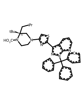 CC(C)C[C@]1(C(C)(C)C)CN(c2csc(-c3nn(C(c4ccccc4)(c4ccccc4)c4ccccc4)c4ncccc34)n2)CCN1C(=O)O